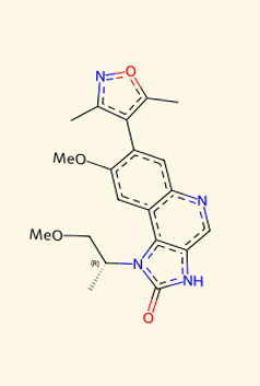 COC[C@@H](C)n1c(=O)[nH]c2cnc3cc(-c4c(C)noc4C)c(OC)cc3c21